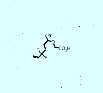 C=CC(F)(F)CCC(CCC)OCC(=O)O